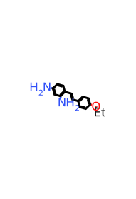 CCOc1ccc(C=Cc2ccc(N)cc2N)cc1